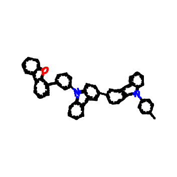 Cc1ccc(-n2c3ccccc3c3cc(-c4ccc5c(c4)c4ccccc4n5-c4cccc(-c5cccc6c5oc5ccccc56)c4)ccc32)cc1